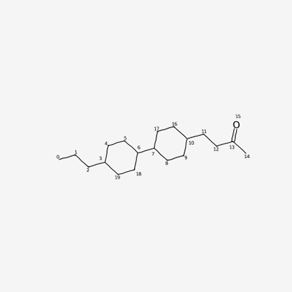 CCCC1CCC(C2CCC(CCC(C)=O)CC2)CC1